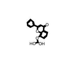 O=c1cc(-c2ccccc2)oc2c(OC(O)O)cccc12